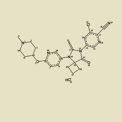 CN1CCC(Oc2ccc(N3C(=S)N(c4cnc(C#N)c(Cl)c4)C(=O)C34CCC4)cn2)CC1.Cl